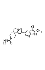 CCNC(=O)N1CCC2(CC1)CCn1nc(-c3cnc4[nH]c(C)c(Cl)c4c3)cc12